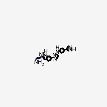 N/C=C\C=C(/N)c1cc2ccc(-c3nccc(Nc4ccc(-c5cn[nH]c5)cc4)n3)cc2[nH]1